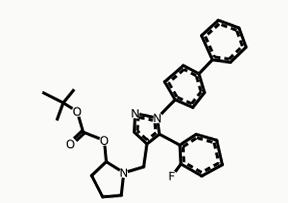 CC(C)(C)OC(=O)OC1CCCN1Cc1cnn(-c2ccc(-c3ccccc3)cc2)c1-c1ccccc1F